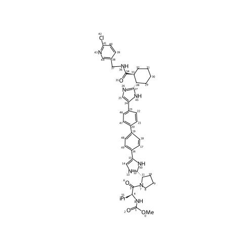 COC(=O)N[C@H](C(=O)N1CCC[C@H]1c1ncc(-c2ccc(-c3ccc(-c4cnc([C@H]5CCCC[C@@H]5C(=O)NCc5ccc(Cl)nc5)[nH]4)cc3)cc2)[nH]1)C(C)C